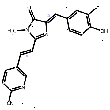 CN1C(=O)/C(=C/c2ccc(O)c(F)c2)N=C1/C=C/c1ccc(C#N)nc1